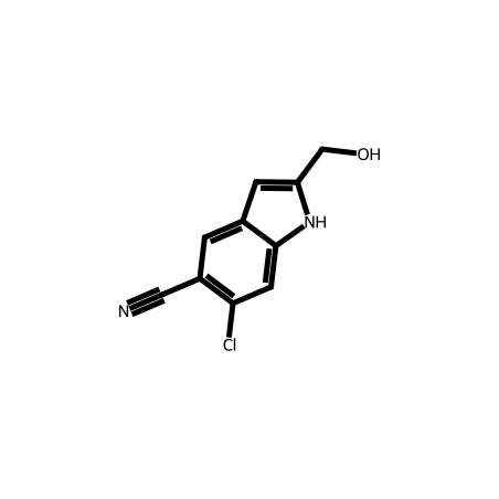 N#Cc1cc2cc(CO)[nH]c2cc1Cl